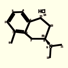 Cc1cccc2c1C[C@H](N(C)C)CC2.Cl